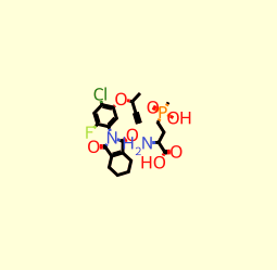 C#CC(C)Oc1cc(N2C(=O)C3=C(CCCC3)C2=O)c(F)cc1Cl.CP(=O)(O)CCC(N)C(=O)O